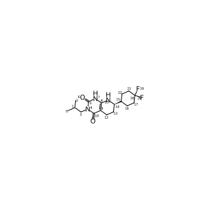 CC(C)Cn1c(=O)[nH]c2c(c1=O)CC[C@H](C1CCC(F)(F)CC1)N2